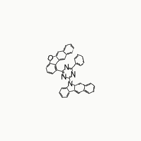 c1ccc(-c2nc(-c3cccc4oc5cc6ccccc6cc5c34)nc(-n3c4ccccc4c4cc5ccccc5cc43)n2)cc1